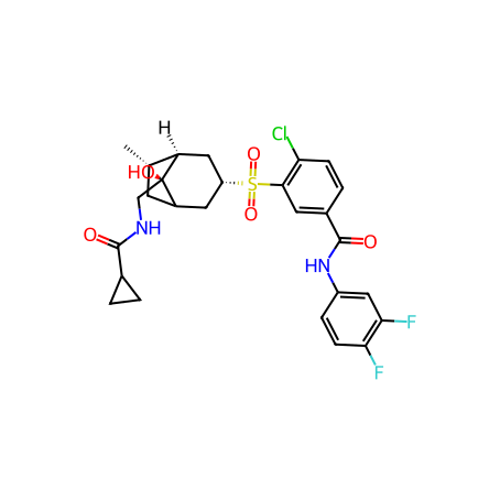 C[C@H]1CC2C[C@@H](S(=O)(=O)c3cc(C(=O)Nc4ccc(F)c(F)c4)ccc3Cl)C[C@H]1[C@@]2(O)CNC(=O)C1CC1